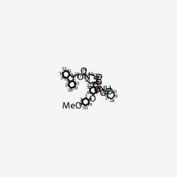 COc1ccc(Oc2ccc(C3(CC(=O)NOC4CCCCO4)CCN(C(=O)OCC4c5ccccc5-c5ccccc54)CCS3(=O)=O)cc2)cc1